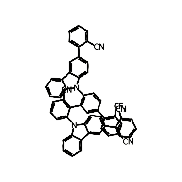 N#Cc1ccc(-c2ccc(-n3c4ccccc4c4cc(-c5ccccc5C#N)ccc43)c(-c3c(C#N)cccc3-n3c4ccccc4c4cc(-c5ccccc5C#N)ccc43)c2)c(C(F)(F)F)c1